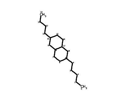 CCCCCC1CCC2CC(CCCC)CCC2C1